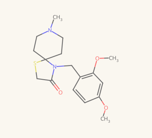 COc1ccc(CN2C(=O)CSC23CCN(C)CC3)c(OC)c1